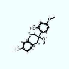 COc1ccc(C2(OC)COc3cc(O)ccc3C2)c(O)c1